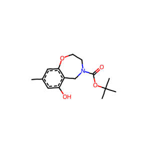 Cc1cc(O)c2c(c1)OCCN(C(=O)OC(C)(C)C)C2